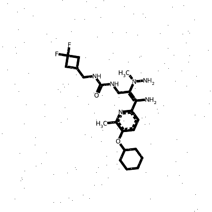 Cc1nc(/C(N)=C(\CNC(=O)NCC2CC(F)(F)C2)N(C)N)ccc1OC1CCCCC1